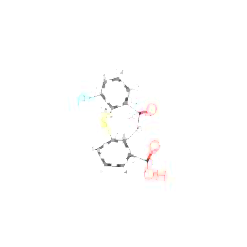 O=C(O)c1cccc2c1CC(=O)c1cccc(F)c1S2